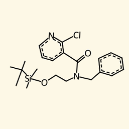 CC(C)(C)[Si](C)(C)OCCN(Cc1ccccc1)C(=O)c1cccnc1Cl